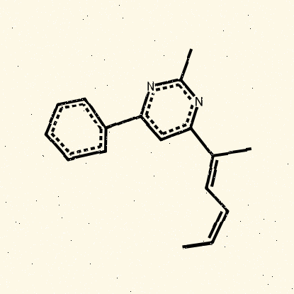 C/C=C\C=C(/C)c1cc(-c2ccccc2)nc(C)n1